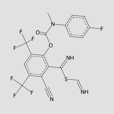 CN(C(=O)Oc1c(C(F)(F)F)cc(C(F)(F)F)c(C#N)c1C(=N)SC=N)c1ccc(F)cc1